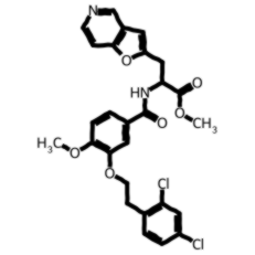 COC(=O)C(Cc1cc2cnccc2o1)NC(=O)c1ccc(OC)c(OCCc2ccc(Cl)cc2Cl)c1